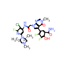 C[C@@H]1CN(C)C[C@H](C)N1c1cc(NC(=O)Cn2cc(-c3cc(C(N)=O)c(O)c(F)c3F)c3c(=O)n(C)cnc32)c(Cl)c(F)n1